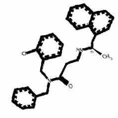 C[C@@H](NCCC(=O)N(Cc1ccccc1)Cc1ccccc1Cl)c1cccc2ccccc12